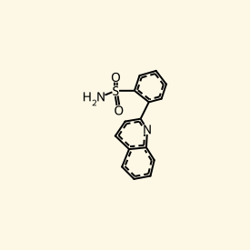 NS(=O)(=O)c1ccccc1-c1ccc2ccccc2n1